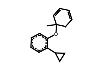 CC1(Oc2ccccc2C2CC2)[CH]C=CC=C1